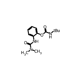 CN(C)C(=O)Nc1ccccc1OC(=O)NC(C)(C)C